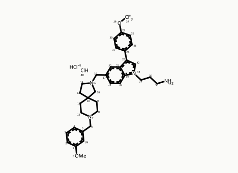 COc1cccc(CN2CCC3(CC2)CCN(Cc2ccc4c(c2)c(-c2ccc(OC(F)(F)F)cc2)cn4CCCN)C3)c1.Cl.Cl